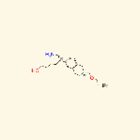 CC(C)CCOC[C@@H]1CCc2cc([C@H](CN)CCCCO)ccc2C1